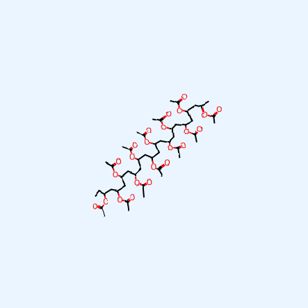 CCC(CC(CC(CC(CC(CC(CC(CC(CC(CC(CC(CC(C)OC(C)=O)OC(C)=O)OC(C)=O)OC(C)=O)OC(C)=O)OC(C)=O)OC(C)=O)OC(C)=O)OC(C)=O)OC(C)=O)OC(C)=O)OC(C)=O